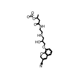 CC(CC(=O)NCCNCC(O)COc1cccc2c1OCC(C#N)=C2)O[N+](=O)[O-]